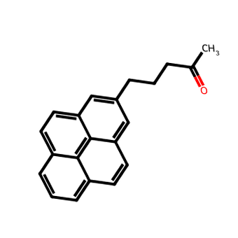 CC(=O)CCCc1cc2ccc3cccc4ccc(c1)c2c34